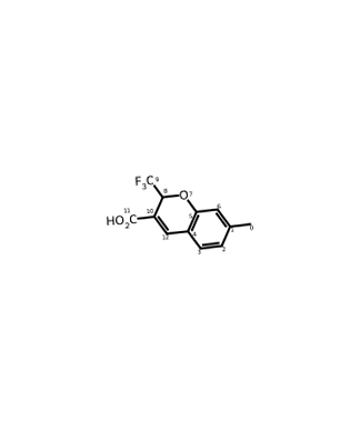 Cc1ccc2c(c1)OC(C(F)(F)F)C(C(=O)O)=C2